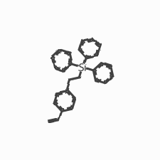 C=Cc1ccc(CC[Si](c2ccccc2)(c2ccccc2)c2ccccc2)cc1